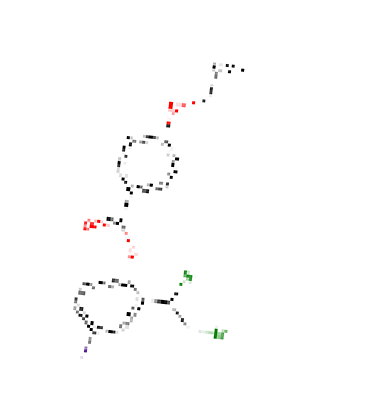 COCOc1ccc(C(=O)Oc2ccc(I)cc2C(Br)CBr)cc1